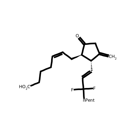 C=C1CC(=O)[C@H](C/C=C\CCCC(=O)O)[C@H]1/C=C/C(F)(F)CCCCC